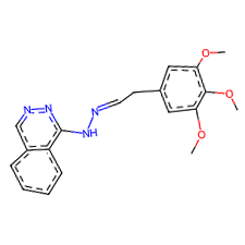 COc1cc(C/C=N/Nc2nncc3ccccc23)cc(OC)c1OC